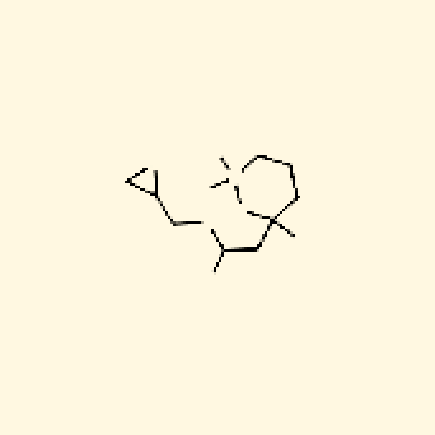 CCC1(CC(C)OCC2CO2)CCC[Si](C)(C)O1